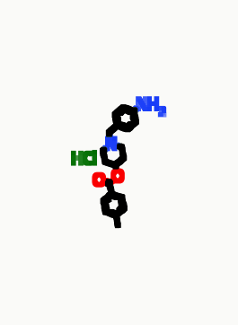 Cc1ccc(C(=O)OC2CCN(Cc3ccc(N)cc3)CC2)cc1.Cl